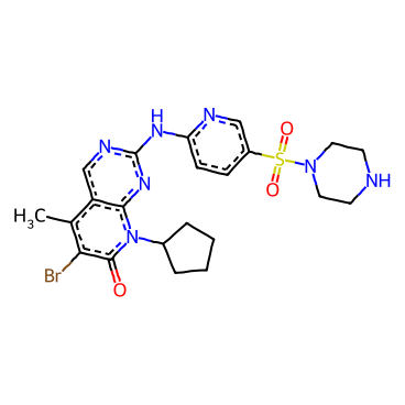 Cc1c(Br)c(=O)n(C2CCCC2)c2nc(Nc3ccc(S(=O)(=O)N4CCNCC4)cn3)ncc12